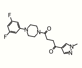 Cn1cc(C(=O)CCC(=O)N2CCN(c3cc(F)cc(F)c3)CC2)cn1